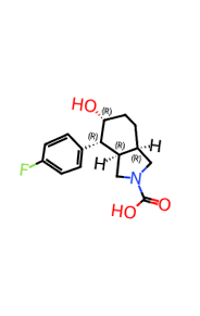 O=C(O)N1C[C@@H]2CC[C@@H](O)[C@@H](c3ccc(F)cc3)[C@@H]2C1